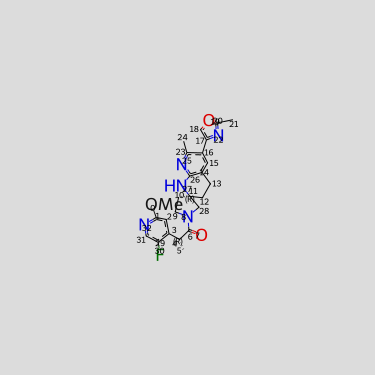 COc1cc([C@@H](C)C(=O)N2CC[C@]3(CCc4cc(-c5coc(C)n5)c(C)nc4N3)C2)c(F)cn1